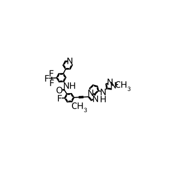 Cc1cc(F)c(C(=O)Nc2cc(-c3ccncc3)cc(C(F)(F)F)c2)cc1C#Cc1cnc2c(Nc3cnn(C)c3)cccn12